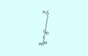 CCCCCCCCCCCCOC(=O)CCSCCC(=O)O